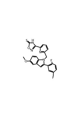 COc1ccc2c(c1)cc(-c1cc(F)ccc1F)n2Cc1cccc(-c2noc(=S)[nH]2)n1